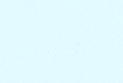 Nc1nccc(-c2oc(CN3CCCCC3)cc2-c2ccc3c(c2)CCC3=O)n1